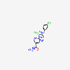 Cl.NC(=O)c1cnc(N2CC3C(C2)C3NCc2ccc(Cl)cc2)nc1